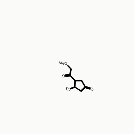 CCC1CC(=O)CC1C(=O)COC